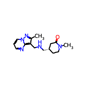 Cc1nn2cccnc2c1CNC[C@H]1CCN(C)C(=O)C1